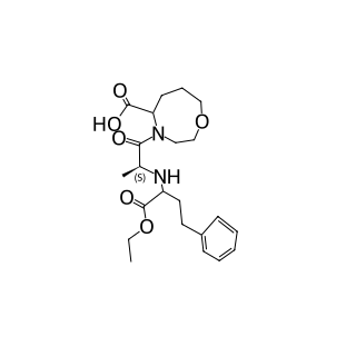 CCOC(=O)C(CCc1ccccc1)N[C@@H](C)C(=O)N1CCOCCCC1C(=O)O